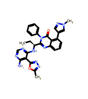 CC[C@H](Nc1ncnc(N)c1-c1nnc(C)o1)c1nc2cccc(-c3cnn(C)c3)c2c(=O)n1-c1ccccc1